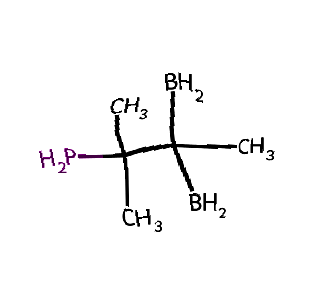 BC(B)(C)C(C)(C)P